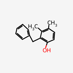 Cc1ccc(O)c(Cc2ccccc2)c1C